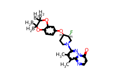 BC1(B)Oc2ccc(O[C@@H]3CCN(c4nn5c(=O)ccnc5c(C)c4C)C[C@H]3F)cc2OC1(B)B